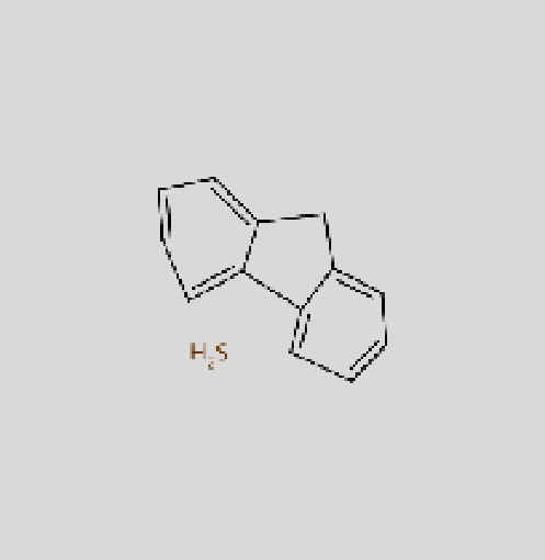 S.c1ccc2c(c1)Cc1ccccc1-2